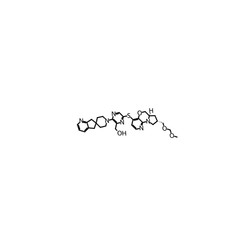 COCOC[C@H]1C[C@@H]2COc3c(Sc4cnc(N5CCC6(CC5)Cc5cccnc5C6)c(CO)n4)ccnc3N2C1